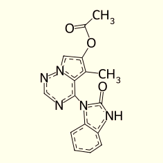 CC(=O)Oc1cn2ncnc(-n3c(=O)[nH]c4ccccc43)c2c1C